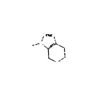 Cn1nnc2c1CSCC2